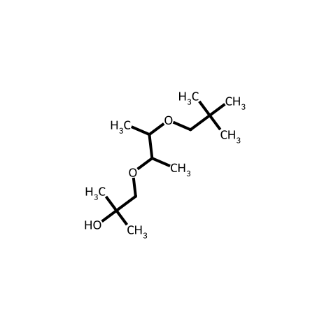 CC(OCC(C)(C)C)C(C)OCC(C)(C)O